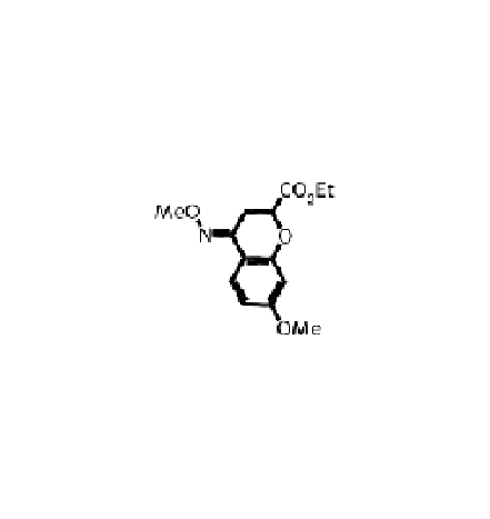 CCOC(=O)C1CC(=NOC)c2ccc(OC)cc2O1